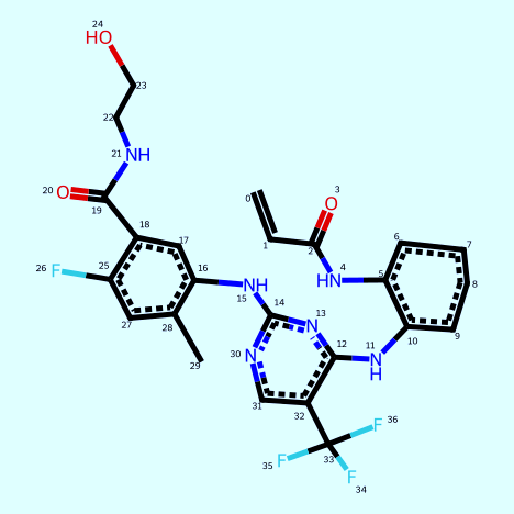 C=CC(=O)Nc1ccccc1Nc1nc(Nc2cc(C(=O)NCCO)c(F)cc2C)ncc1C(F)(F)F